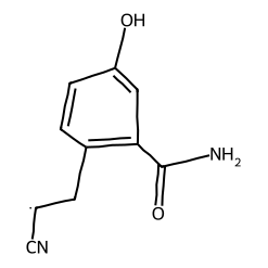 N#C[CH]Cc1ccc(O)cc1C(N)=O